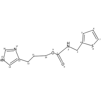 O=C(NCc1cccs1)OCCCc1c[nH]cn1